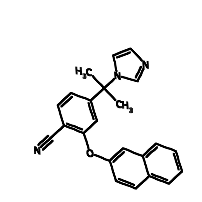 CC(C)(c1ccc(C#N)c(Oc2ccc3ccccc3c2)c1)n1ccnc1